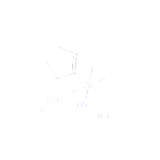 CC(C)(C)[NH][Ti]([CH3])([CH3])([CH3])([CH3])[C]1=CC=CC1.Cl.Cl